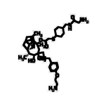 C[C@@H]1CC23C[C@@]4(CCC2=O)[C@@H]3[C@]1(C)[C@H](OC(=O)CSC1CCC(CNC(=O)CN)CC1)C[C@](C)(CNCc1ccc(OCCN)cc1)[C@@H](O)[C@@H]4C